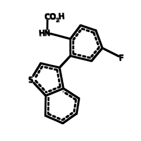 O=C(O)Nc1ccc(F)cc1-c1csc2ccccc12